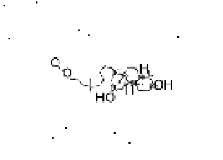 CC(C)(CCCOC=O)CC1CCC[C@]2(C)C1[C@H](O)C[C@@H]1[C@@]3(C)CC[C@H](O)C(C)(C)[C@@H]3CC[C@]12C